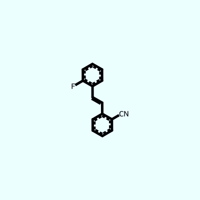 N#Cc1ccccc1/C=C/c1ccccc1F